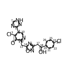 O=c1c(Cl)c(-c2nc[nH]n2)cnn1Cc1nc(C[C@H](O)c2ccc(Cl)cc2)no1